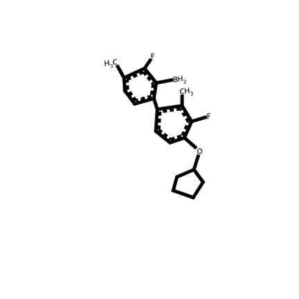 Bc1c(-c2ccc(OC3CCCC3)c(F)c2C)ccc(C)c1F